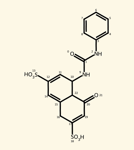 O=C(Nc1ccccc1)NC1C=C(S(=O)(=O)O)C=C2CC(S(=O)(=O)O)=CC(=O)C21